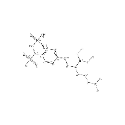 CCN(CC)C(COCC(C)C)COc1ccc(N(OP(=O)(O)O)S(C)(=O)=O)cc1